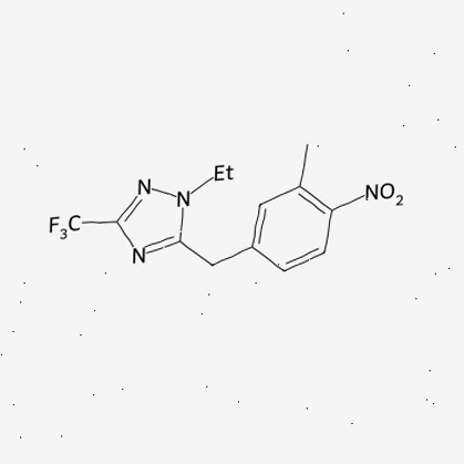 CCn1nc(C(F)(F)F)nc1Cc1ccc([N+](=O)[O-])c(C)c1